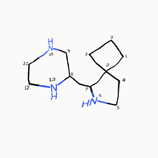 C1CC2(C1)CCNC2C1CNCCN1